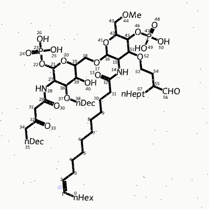 CCCCCC/C=C\CCCCCCCCCC(=O)NC1C(OCC2OC(OP(=O)(O)O)C(NC(=O)CC(=O)CCCCCCCCCCC)C(OCCCCCCCCCC)C2O)OC(COC)C(OP(=O)(O)O)C1OCCC(C=O)CCCCCCC